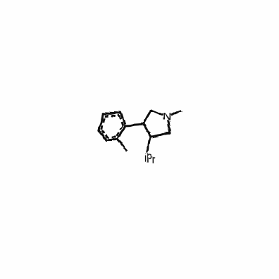 Cc1ccccc1C1CN(C)CC1C(C)C